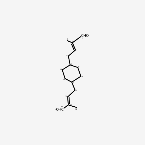 CC([C]=O)=CCC1CCC(CC=C(C)[C]=O)CC1